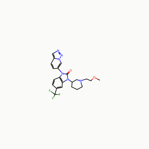 COCCN1CCCC(n2c(=O)n(-c3ccc4cnnn4c3)c3ccc(C(F)(F)F)cc32)C1